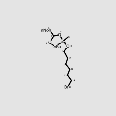 CCCCCCCCCC(OCCCC)O[Si](C)(C)OCCCCCCBr